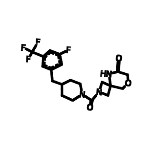 O=C1COCC2(CN(C(=O)N3CCC(Cc4cc(F)cc(C(F)(F)F)c4)CC3)C2)N1